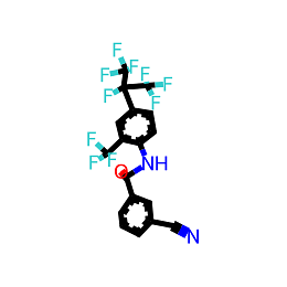 N#Cc1cccc(C(=O)Nc2ccc(C(F)(C(F)(F)F)C(F)(F)F)cc2C(F)(F)F)c1